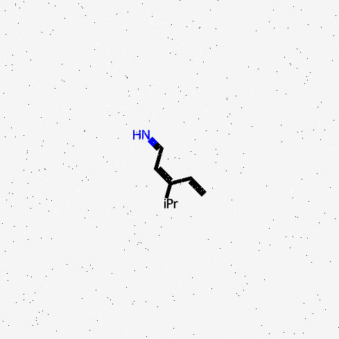 C=C/C(=C\C=N)C(C)C